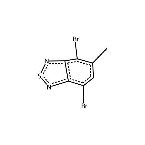 Cc1cc(Br)c2nsnc2c1Br